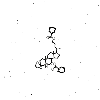 C[C@H](CCCOC(=O)c1ccccc1)[C@H]1CCC2C3C(CC[C@@]21C)[C@@]1(C)CCC2(C[C@@H]1C[C@H]3OC(=O)c1ccccc1)OCCO2